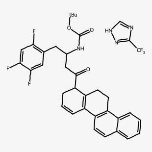 CC(C)(C)OC(=O)NC(CC(=O)C1CC=CC2=C1CCc1c2ccc2ccccc12)Cc1cc(F)c(F)cc1F.FC(F)(F)c1nc[nH]n1